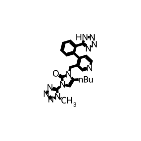 CCCCc1cn(-c2nnnn2C)c(=O)n1Cc1cnccc1-c1ccccc1-c1nnn[nH]1